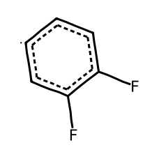 Fc1c[c]ccc1F